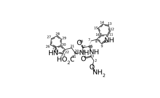 NOCC(=O)N[C@@H](Cc1c[nH]c2ccccc12)C(=O)N[C@@H](Cc1c[nH]c2ccccc12)C(=O)O